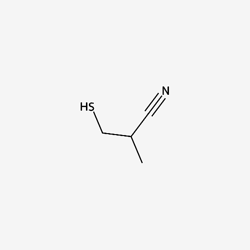 CC(C#N)CS